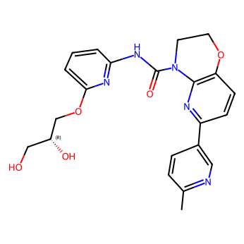 Cc1ccc(-c2ccc3c(n2)N(C(=O)Nc2cccc(OC[C@H](O)CO)n2)CCO3)cn1